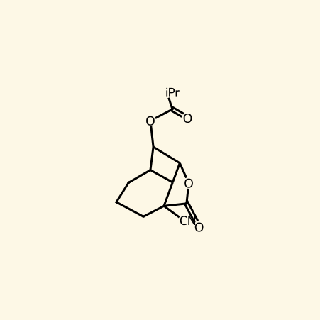 CC(C)C(=O)OC1C2CCCC3(C#N)C(=O)OC1C23